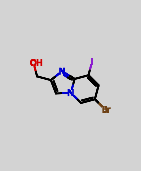 OCc1cn2cc(Br)cc(I)c2n1